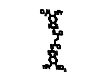 CCCc1cc2sc(SC(=O)CCC(=O)Sc3nc4cc([N+](=O)[O-])c(CCC)cc4s3)nc2cc1[N+](=O)[O-]